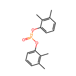 Cc1cccc(O[PH](=O)Oc2cccc(C)c2C)c1C